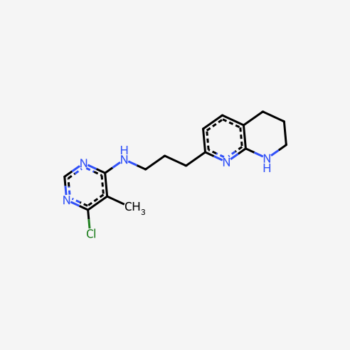 Cc1c(Cl)ncnc1NCCCc1ccc2c(n1)NCCC2